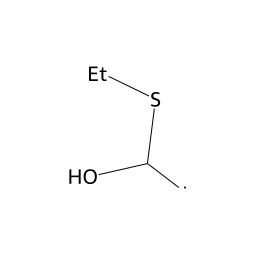 [CH2]C(O)SCC